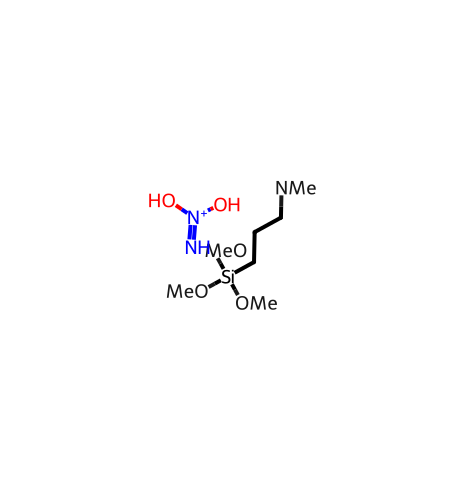 CNCCC[Si](OC)(OC)OC.N=[N+](O)O